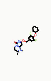 C[C@H]1CCn2c(cc(OCc3cc(F)c(OC4CCCCC4)c(F)c3)nc2=O)N1C